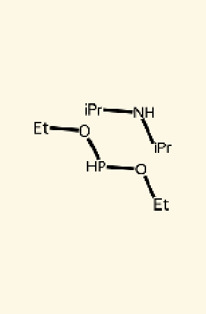 CC(C)NC(C)C.CCOPOCC